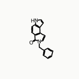 O=c1c2ccc3[nH]ccc3c2ccn1Cc1ccccc1